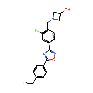 CC(C)Cc1ccc(-c2nc(-c3ccc(CN4CC(O)C4)c(F)c3)no2)cc1